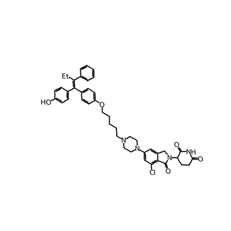 CCC(=C(c1ccc(O)cc1)c1ccc(OCCCCCN2CCN(c3cc(Cl)c4c(c3)CN(C3CCC(=O)NC3=O)C4=O)CC2)cc1)c1ccccc1